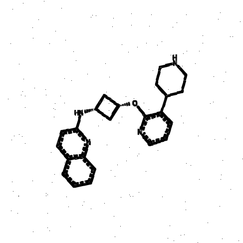 c1cnc(O[C@H]2C[C@@H](Nc3ccc4ccccc4n3)C2)c(C2CCNCC2)c1